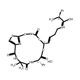 CC(C)[C@@H]1NC(=O)C(C)(C)NC(=O)c2csc(n2)CNC(=O)C[C@@H](/C=C/CC/[SH]=C(/O)[C@@H](N)C(C)C)OC1=O.Cl